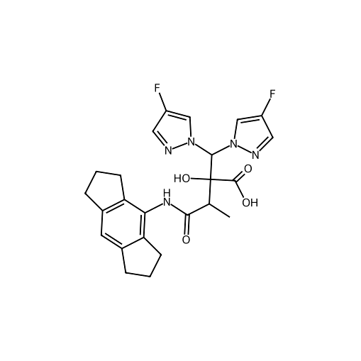 CC(C(=O)Nc1c2c(cc3c1CCC3)CCC2)C(O)(C(=O)O)C(n1cc(F)cn1)n1cc(F)cn1